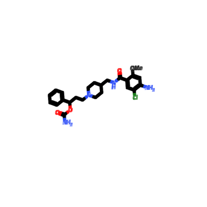 COc1cc(N)c(Cl)cc1C(=O)NCC1CCN(CCC(OC(N)=O)c2ccccc2)CC1